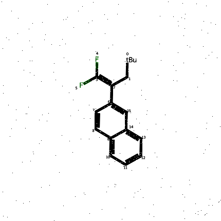 CC(C)(C)CC(=C(F)F)c1ccc2ccccc2c1